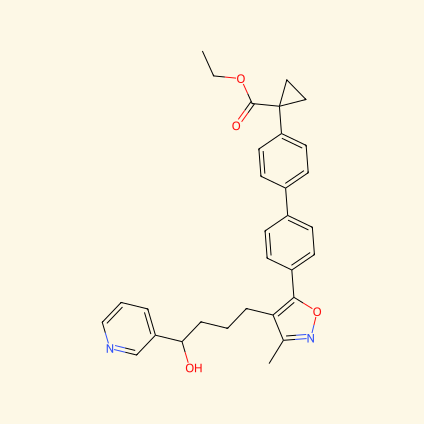 CCOC(=O)C1(c2ccc(-c3ccc(-c4onc(C)c4CCCC(O)c4cccnc4)cc3)cc2)CC1